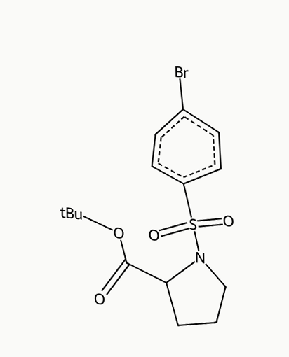 CC(C)(C)OC(=O)C1CCCN1S(=O)(=O)c1ccc(Br)cc1